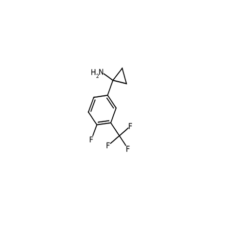 NC1(c2ccc(F)c(C(F)(F)F)c2)CC1